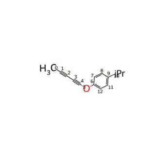 CC#CC#COc1ccc(C(C)C)cc1